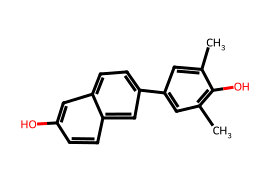 Cc1cc(-c2ccc3cc(O)ccc3c2)cc(C)c1O